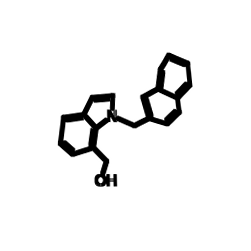 OCc1cccc2ccn(Cc3ccc4ccccc4c3)c12